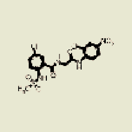 CS(=O)(=O)Nc1ccc(Cl)cc1C(=O)NCC(=O)Nc1ccc([N+](=O)[O-])cc1Cl